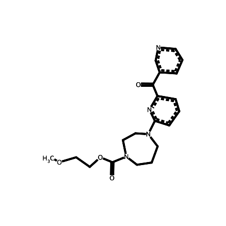 COCCOC(=O)N1CCCN(c2cccc(C(=O)c3cccnc3)n2)CC1